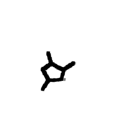 CC1[CH]C(C)C(C)C1